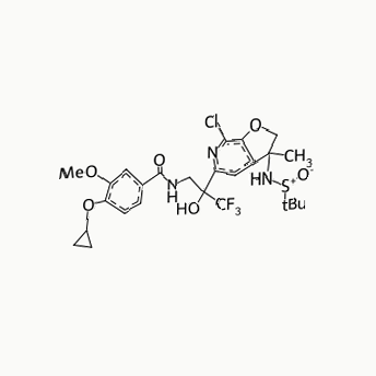 COc1cc(C(=O)NCC(O)(c2cc3c(c(Cl)n2)OCC3(C)N[S+]([O-])C(C)(C)C)C(F)(F)F)ccc1OC1CC1